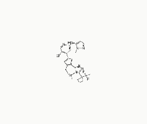 C[C@H]1CCn2cc(-c3cc(Nc4ccnn4C)ncc3Cl)cc2-c2nnc(C3(C(C)(F)F)CCC3)n21